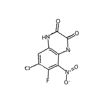 O=C1[N]c2c(cc(Cl)c(F)c2[N+](=O)[O-])NC1=O